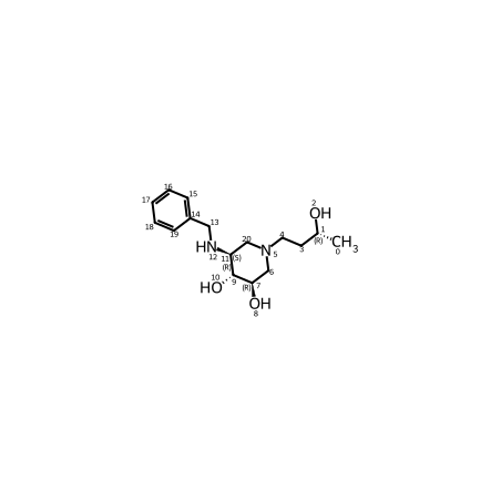 C[C@@H](O)CCN1C[C@@H](O)[C@H](O)[C@@H](NCc2ccccc2)C1